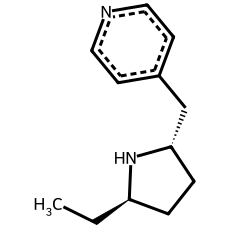 CC[C@@H]1CC[C@@H](Cc2ccncc2)N1